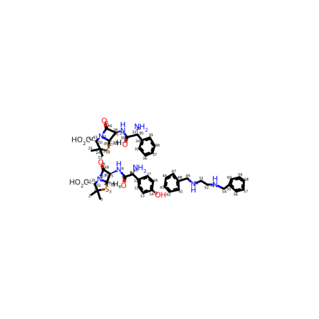 CC1(C)S[C@@H]2[C@H](NC(=O)[C@H](N)c3ccc(O)cc3)C(=O)N2[C@H]1C(=O)O.CC1(C)S[C@@H]2[C@H](NC(=O)[C@H](N)c3ccccc3)C(=O)N2[C@H]1C(=O)O.c1ccc(CNCCNCc2ccccc2)cc1